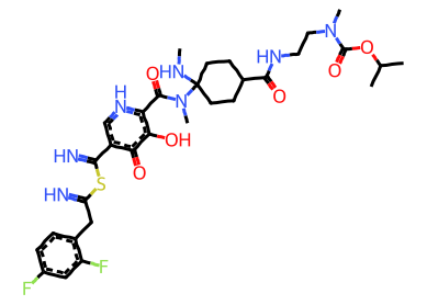 CNC1(N(C)C(=O)c2[nH]cc(C(=N)SC(=N)Cc3ccc(F)cc3F)c(=O)c2O)CCC(C(=O)NCCN(C)C(=O)OC(C)C)CC1